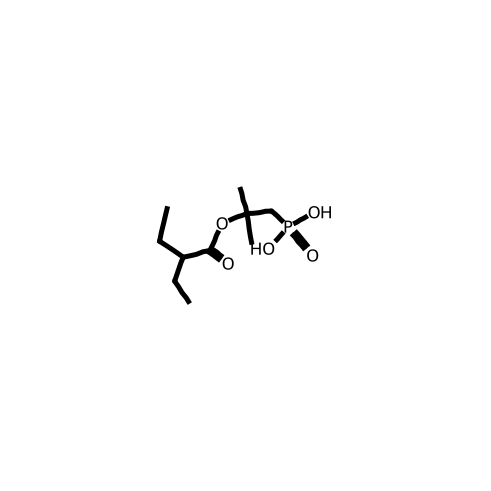 CCC(CC)C(=O)OC(C)(C)CP(=O)(O)O